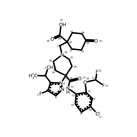 CC(C)c1c(F)cnn1C1(C(=O)Nc2ccc(Cl)cc2OC(F)F)CCN(CC2(C(=O)O)CCC(=O)CC2)CC1